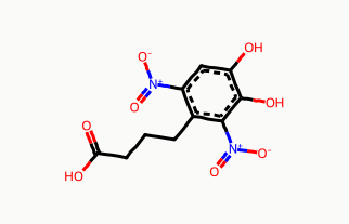 O=C(O)CCCc1c([N+](=O)[O-])cc(O)c(O)c1[N+](=O)[O-]